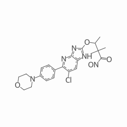 CC(Oc1nc2nc(-c3ccc(N4CCOCC4)cc3)c(Cl)cc2[nH]1)C(C)(C)C(=O)N=O